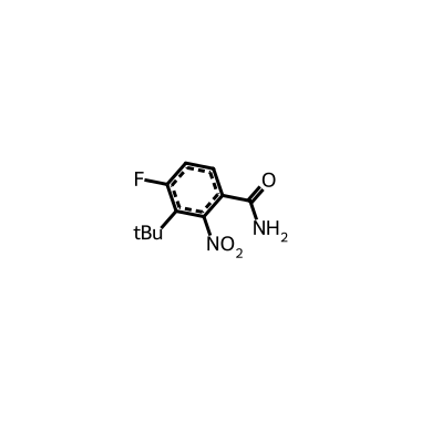 CC(C)(C)c1c(F)ccc(C(N)=O)c1[N+](=O)[O-]